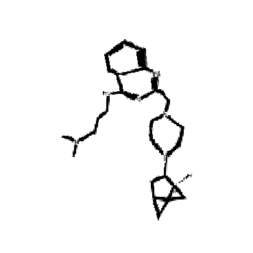 CN(C)CCCNc1nc(CN2CCN(C3CC4CC45C[C@H]35)CC2)nc2ccccc12